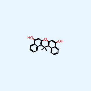 CC1(C)c2c(cc(O)c3ccccc23)Oc2cc(O)c3ccccc3c21